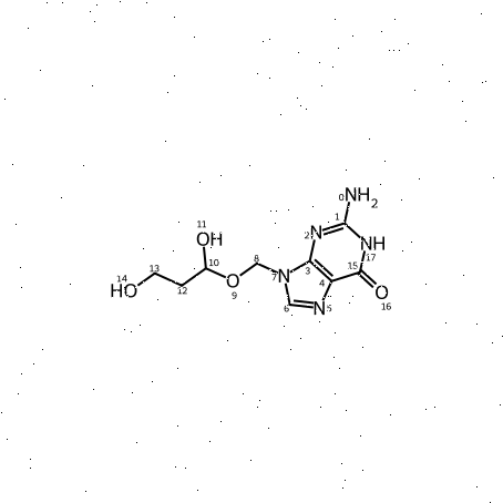 Nc1nc2c(ncn2COC(O)CCO)c(=O)[nH]1